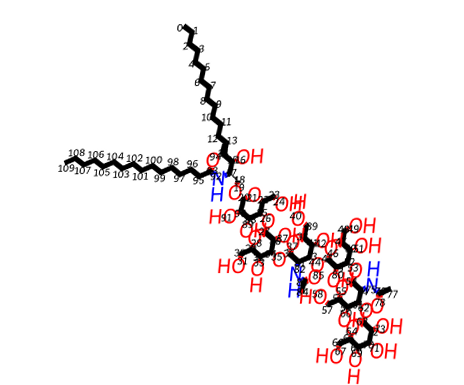 CCCCCCCCCCCCC/C=C/[C@@H](O)[C@H](CO[C@@H]1OC(CO)[C@@H](O[C@@H]2OC(CO)[C@H](O)[C@H](O[C@@H]3OC(CO)[C@@H](O)[C@H](O[C@@H]4OC(CO)[C@H](O)[C@H](O[C@@H]5OC(CO)[C@@H](O)[C@H](O[C@@H]6OC(CO)[C@H](O)[C@H](O)C6O)C5NC(C)=O)C4O)C3NC(C)=O)C2O)[C@H](O)C1O)NC(=O)CCCCCCCCCCCCCCC